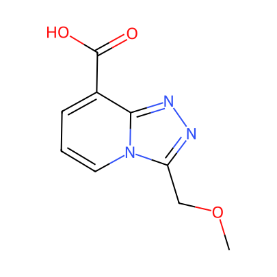 COCc1nnc2c(C(=O)O)cccn12